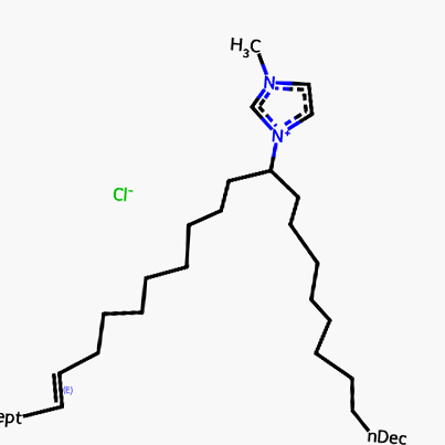 CCCCCCC/C=C/CCCCCCCCC(CCCCCCCCCCCCCCCCCC)[n+]1ccn(C)c1.[Cl-]